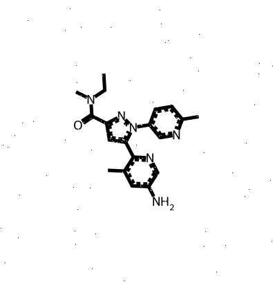 CCN(C)C(=O)c1cc(-c2ncc(N)cc2C)n(-c2ccc(C)nc2)n1